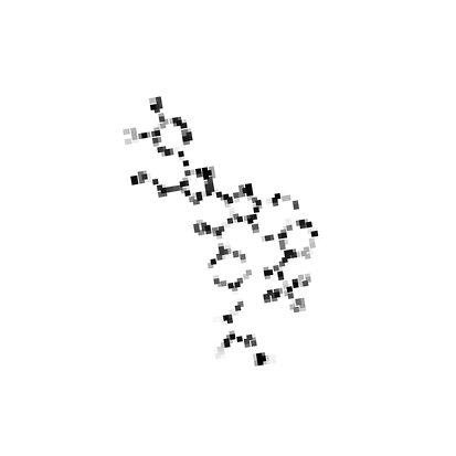 CCCSc1sc(-n2nc(C)c(Cc3ccccc3NS(C)(=O)=O)c2C(=O)N2CCC(CNC(=O)OC(C)(C)C)CC2)nc1-c1ccc(Cl)c(Cl)c1